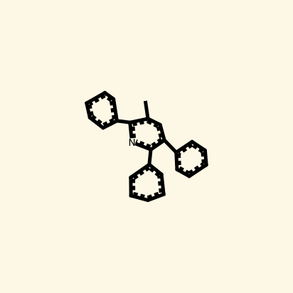 Cc1cc(-c2ccccc2)c(-c2ccccc2)nc1-c1ccccc1